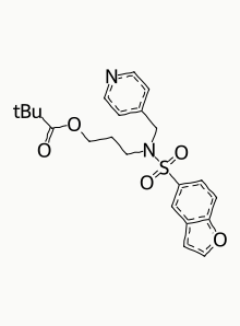 CC(C)(C)C(=O)OCCCN(Cc1ccncc1)S(=O)(=O)c1ccc2occc2c1